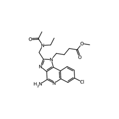 CCN(Cc1nc2c(N)nc3cc(Cl)ccc3c2n1CCCC(=O)OC)C(C)=O